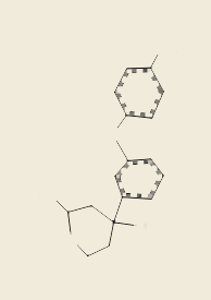 CC1CC(O)(c2cccc(Sc3ccc(C(C)(C)C)cc3)c2)CCO1